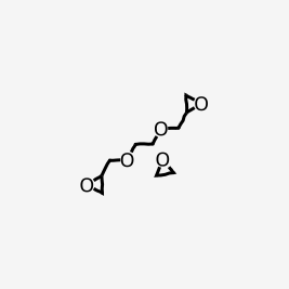 C(COCC1CO1)OCC1CO1.C1CO1